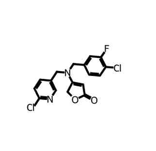 O=C1C=C(N(Cc2ccc(Cl)nc2)Cc2ccc(Cl)c(F)c2)CO1